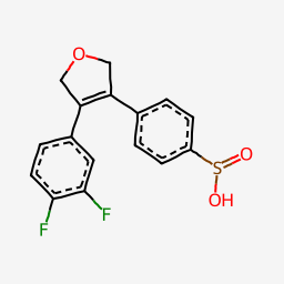 O=S(O)c1ccc(C2=C(c3ccc(F)c(F)c3)COC2)cc1